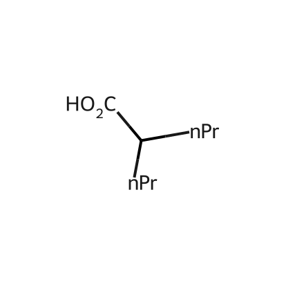 [CH2]CCC(CCC)C(=O)O